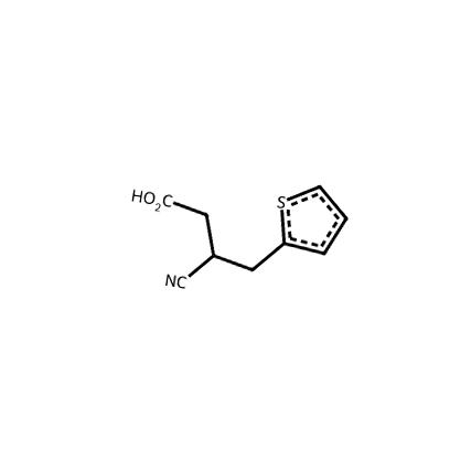 N#CC(CC(=O)O)Cc1cccs1